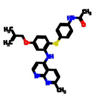 C=C(C)COc1ccc(Sc2ccc(NC(C)=O)cc2)c(Nc2ccnc3nc(C)ccc23)c1